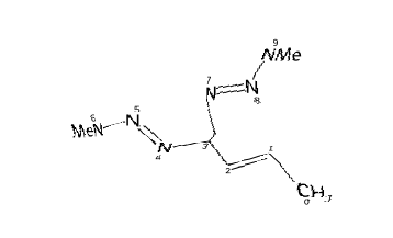 CC=CC(N=NNC)N=NNC